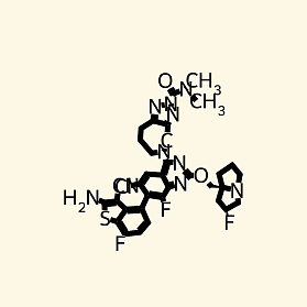 CN(C)C(=O)n1nc2c(n1)CN(c1nc(OC[C@@]34CCCN3C[C@H](F)C4)nc3c(F)c(-c4ccc(F)c5sc(N)c(C#N)c45)c(Cl)cc13)CCC2